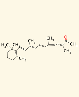 CC(=O)/C(C)=C/C=C(C)/C=C/C=C(C)/C=C/C1=C(C)CCCC1(C)C